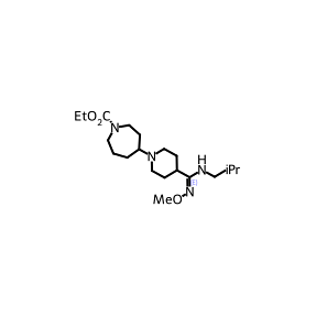 CCOC(=O)N1CCCC(N2CCC(/C(=N\OC)NCC(C)C)CC2)CC1